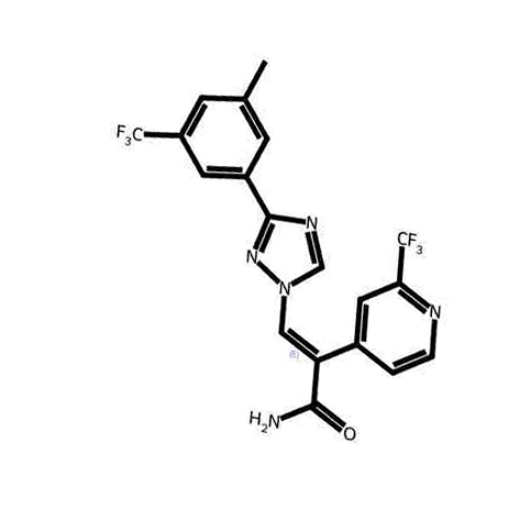 Cc1cc(-c2ncn(/C=C(/C(N)=O)c3ccnc(C(F)(F)F)c3)n2)cc(C(F)(F)F)c1